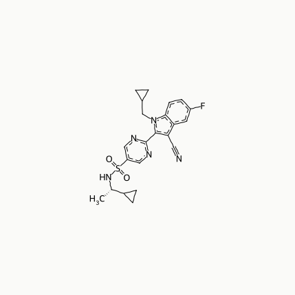 C[C@H](NS(=O)(=O)c1cnc(-c2c(C#N)c3cc(F)ccc3n2CC2CC2)nc1)C1CC1